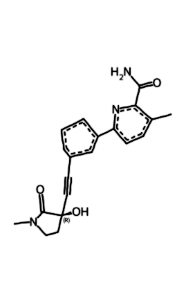 Cc1ccc(-c2cccc(C#C[C@]3(O)CCN(C)C3=O)c2)nc1C(N)=O